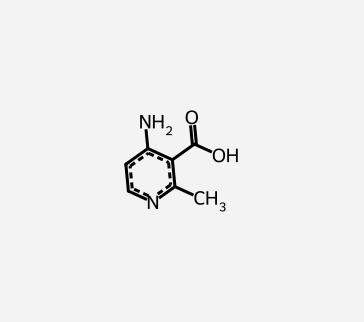 Cc1nccc(N)c1C(=O)O